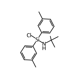 Cc1cccc([Si](Cl)(NC(C)(C)C)c2cccc(C)c2)c1